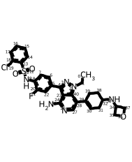 CCn1nc(-c2ccc(NS(=O)(=O)c3ccccc3Cl)c(F)c2)c2c(N)ncc(C3=CCC(NC4COC4)CC3)c21